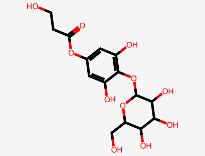 O=C(CCO)Oc1cc(O)c(OC2OC(CO)C(O)C(O)C2O)c(O)c1